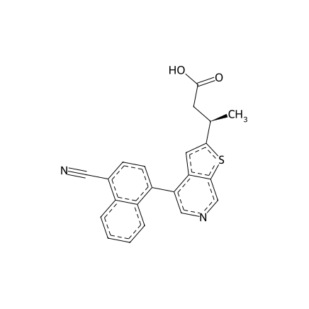 C[C@H](CC(=O)O)c1cc2c(-c3ccc(C#N)c4ccccc34)cncc2s1